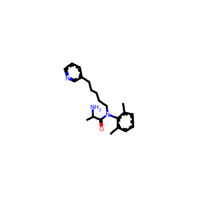 Cc1cccc(C)c1N(CCCCCc1cccnc1)C(=O)C(C)N